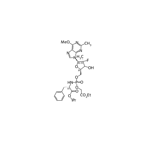 CCOC(=O)COP(=O)(N[C@@H](Cc1ccccc1)C(=O)OC(C)C)OC[C@H]1O[C@@H](n2cnc3c(OC)nc(C)nc32)[C@@](C)(F)C1O